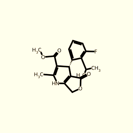 COC(=O)C1=C(C)NC2=C(C(=O)OC2)[C@H]1c1cccc(F)c1C(C)C